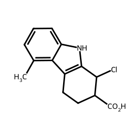 Cc1cccc2[nH]c3c(c12)CCC(C(=O)O)C3Cl